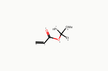 C=CC(=O)OC(CC)(CCC)OC